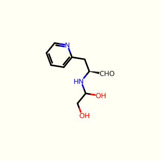 O=C[C@H](Cc1ccccn1)NC(O)CO